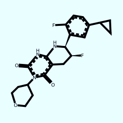 O=c1[nH]c2c(c(=O)n1C1CCOCC1)C[C@H](F)[C@H](c1cc(C3CC3)ccc1F)N2